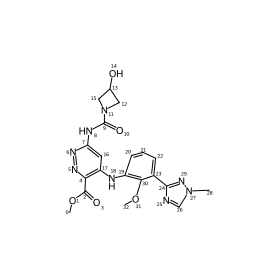 COC(=O)c1nnc(NC(=O)N2CC(O)C2)cc1Nc1cccc(-c2ncn(C)n2)c1OC